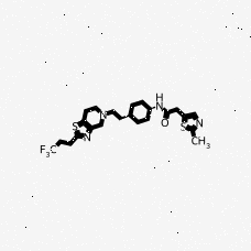 Cc1ncc(CC(=O)N[C@H]2CC[C@H](CCN3CCc4sc(CCC(F)(F)F)nc4C3)CC2)s1